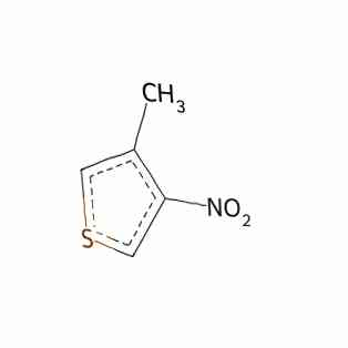 Cc1cscc1[N+](=O)[O-]